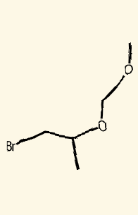 COCO[C](C)CBr